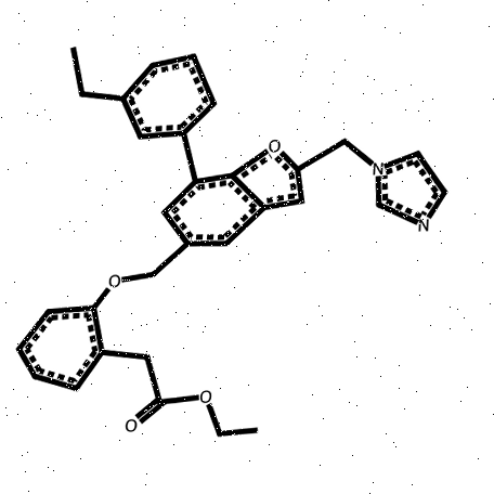 CCOC(=O)Cc1ccccc1OCc1cc(-c2cccc(CC)c2)c2oc(Cn3ccnc3)cc2c1